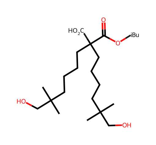 CCC(C)OC(=O)C(CCCCC(C)(C)CO)(CCCCC(C)(C)CO)C(=O)O